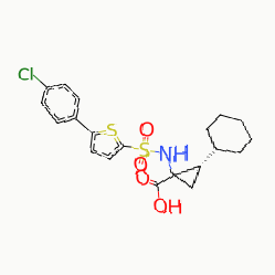 O=C(O)C1(NS(=O)(=O)c2ccc(-c3ccc(Cl)cc3)s2)C[C@H]1C1CCCCC1